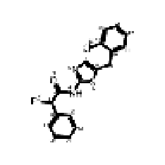 CCC(C(=O)Nc1ncc(Cc2ccccc2Cl)s1)c1ccccc1